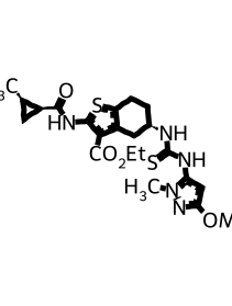 CCOC(=O)c1c(NC(=O)[C@H]2C[C@@H]2C)sc2c1C[C@@H](NC(=S)Nc1cc(OC)nn1C)CC2